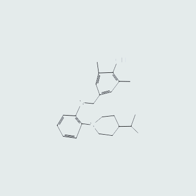 Cc1cc(CNc2ccc[c]c2N2CCC(C(C)C)CC2)cc(C)c1O